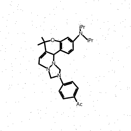 CC(=O)c1ccc(N2CN3CC=C4C(c5ccc(N(C(C)C)C(C)C)cc5OC4(C)C)N3C2)cc1